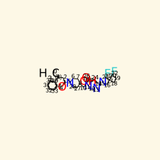 C[C@H](CC(=O)N1CCC(O)(Cn2cnc(N3CC4(CCC4(F)F)C3)cc2=O)CC1)c1ccccc1